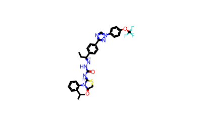 CC/C(=N\NC(=O)/N=C1\SCC(=O)N1c1ccccc1C(C)C)c1ccc(-c2ncn(-c3ccc(OC(F)(F)F)cc3)n2)cc1